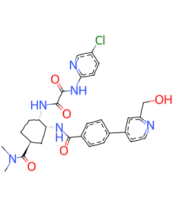 CN(C)C(=O)[C@H]1CC[C@H](NC(=O)C(=O)Nc2ccc(Cl)cn2)[C@H](NC(=O)c2ccc(-c3ccnc(CO)c3)cc2)C1